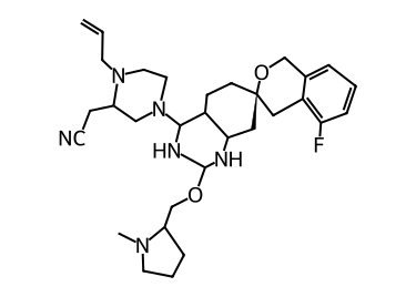 C=CCN1CCN(C2NC(OCC3CCCN3C)NC3C[C@]4(CCC32)Cc2c(F)cccc2CO4)CC1CC#N